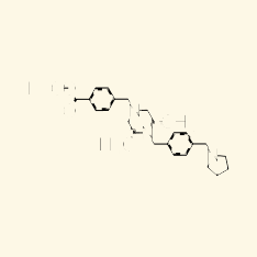 COC(=O)c1ccc(CN2C[C@@H](C)N(Cc3ccc(CN4CCCC4)cc3)[C@@H](C)C2)cc1